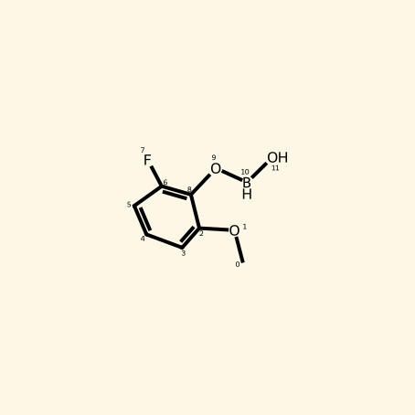 COc1cccc(F)c1OBO